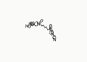 O=C(O)CC1(O)CCN(C(=O)CCCCCC(=O)N2CCN(c3ccncc3)CC2)CC1